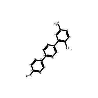 Cc1ccc(C)c(-c2ccc(-c3ccc(C(C)C)cc3)cc2)c1